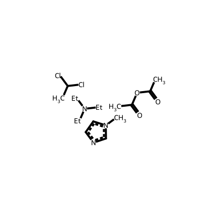 CC(=O)OC(C)=O.CC(Cl)Cl.CCN(CC)CC.Cn1ccnc1